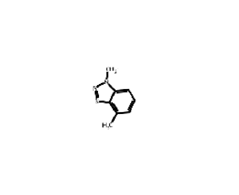 [CH2]n1nnc2c(C)cccc21